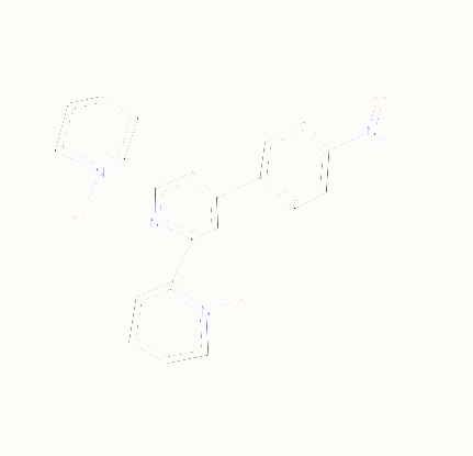 O=[N+]([O-])c1ccc(-c2cc(-c3cccc[n+]3[O-])nc(-c3cccc[n+]3[O-])c2)cc1